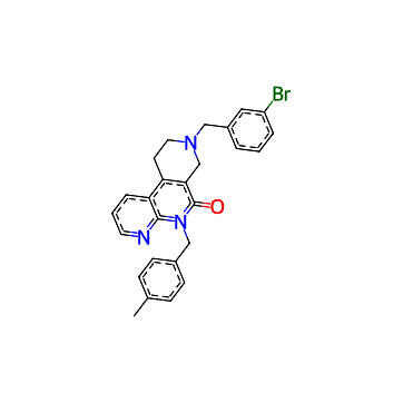 Cc1ccc(Cn2c(=O)c3c(c4cccnc42)CCN(Cc2cccc(Br)c2)C3)cc1